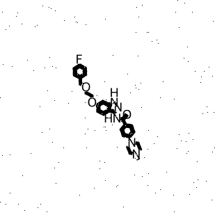 CN1CCN(c2ccc(C(=O)Nc3n[nH]c4cc(OCCOCc5ccc(F)cc5)ccc34)cc2)CC1